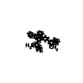 Cc1cc(-c2ccc3c(c2)c2cc(-c4cc(C)cc(C(F)(F)F)c4)ccc2n3-c2ccccc2-c2cc(-c3ccccn3)ccn2)cc(C(F)(F)F)c1